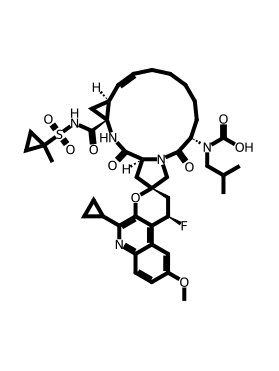 COc1ccc2nc(C3CC3)c3c(c2c1)[C@H](F)C[C@]1(C[C@H]2C(=O)N[C@]4(C(=O)NS(=O)(=O)C5(C)CC5)C[C@H]4/C=C\CCCCC[C@H](N(CC(C)C)C(=O)O)C(=O)N2C1)O3